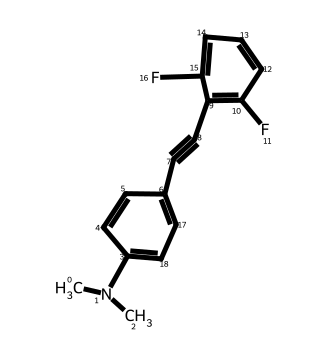 CN(C)c1ccc(C#Cc2c(F)cccc2F)cc1